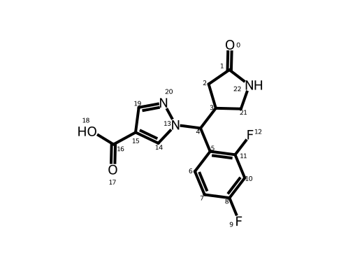 O=C1CC(C(c2ccc(F)cc2F)n2cc(C(=O)O)cn2)CN1